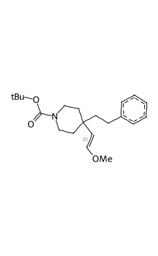 CO/C=C/C1(CCc2ccccc2)CCN(C(=O)OC(C)(C)C)CC1